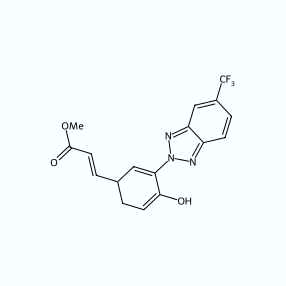 COC(=O)C=CC1C=C(n2nc3ccc(C(F)(F)F)cc3n2)C(O)=CC1